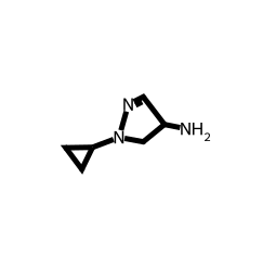 NC1C=NN(C2CC2)C1